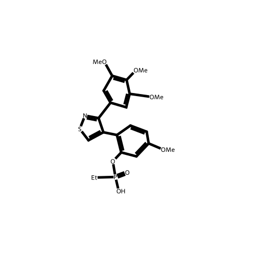 CCP(=O)(O)Oc1cc(OC)ccc1-c1csnc1-c1cc(OC)c(OC)c(OC)c1